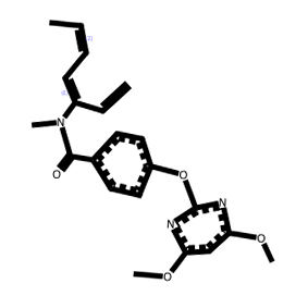 C=C/C(=C\C=C/C)N(C)C(=O)c1ccc(Oc2nc(OC)cc(OC)n2)cc1